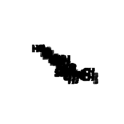 CCN(CC)CCNC(=O)c1cc(C=C2C(=O)Nc3cc(-c4ccc(O)cc4)ccc32)[se]c1C